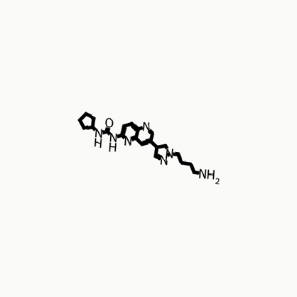 NCCCCN1CC(c2cnc3ccc(NC(=O)NC4CCCC4)nc3c2)C=N1